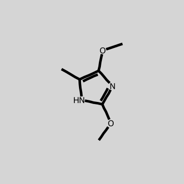 COc1nc(OC)c(C)[nH]1